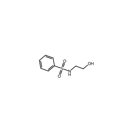 O=S(=O)(NCCO)c1ccccc1